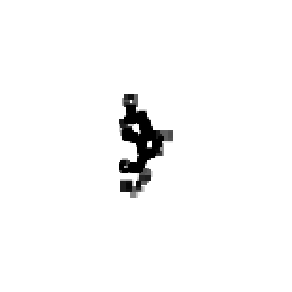 COC(=O)c1n[nH]c2cc(Cl)ncc12